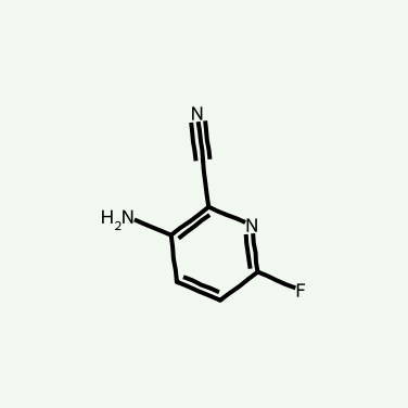 N#Cc1nc(F)ccc1N